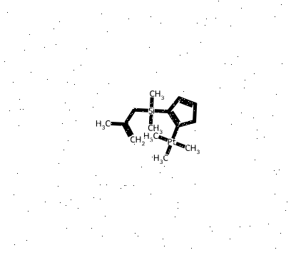 C=C(C)C[Si](C)(C)C1=[C]([Pt]([CH3])([CH3])[CH3])CC=C1